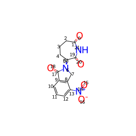 O=C1CCC[C@H](N2Cc3c(cccc3[N+](=O)[O-])C2=O)C(=O)N1